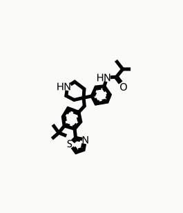 CC(C)C(=O)Nc1cccc(C2(Cc3ccc(C(C)(C)C)c(-c4nccs4)c3)CCNCC2)c1